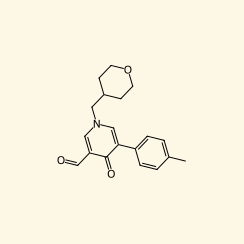 Cc1ccc(-c2cn(CC3CCOCC3)cc(C=O)c2=O)cc1